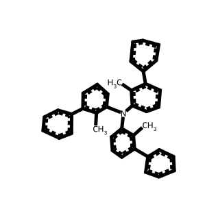 Cc1c(-c2ccccc2)cccc1N(c1cccc(-c2ccccc2)c1C)c1cccc(-c2ccccc2)c1C